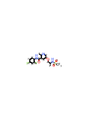 Cc1ncc(OC[C@H](C)NS(=O)(=O)C(F)(F)F)cc1C(=O)Nc1ccc(F)cc1F